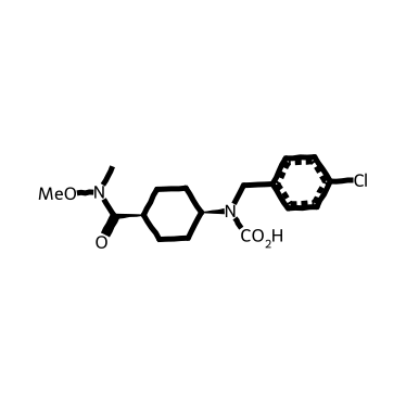 CON(C)C(=O)[C@H]1CC[C@@H](N(Cc2ccc(Cl)cc2)C(=O)O)CC1